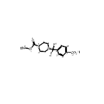 CC(C)(C)OC(=O)N1CCN(C(F)(F)c2ccc(C(=O)O)cc2)CC1